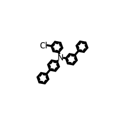 Clc1cccc(N(c2ccc(-c3ccccc3)cc2)c2cccc(-c3ccccc3)c2)c1